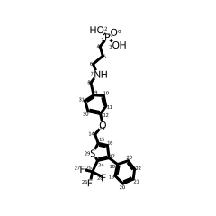 O=P(O)(O)CCCNCc1ccc(OCc2cc(-c3ccccc3)c(C(F)(F)F)s2)cc1